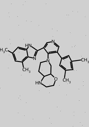 Cc1cc(C)cc(-c2cncc(-c3nc4c(C)cc(C)cc4[nH]3)c2N2CCC3NCCOC3C2)c1